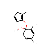 CC(C)OC1(OC2=[C]([Ti+2])CC=C2)CC=C(C(C)(C)C)C=C1C(C)(C)C.[Cl-].[Cl-]